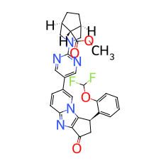 COC(=O)[C@@H]1[C@@H]2CC[C@H]1CN(c1ncc(-c3ccc4nc5c(n4c3)[C@@H](c3ccccc3OC(F)F)CC5=O)cn1)C2